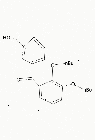 CCCCOc1cccc(C(=O)c2cccc(C(=O)O)c2)c1OCCCC